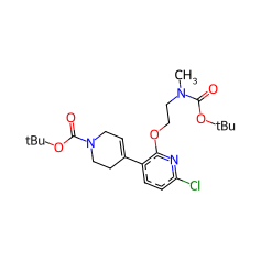 CN(CCOc1nc(Cl)ccc1C1=CCN(C(=O)OC(C)(C)C)CC1)C(=O)OC(C)(C)C